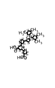 Cc1cc(C)cc(N(c2cc(C)cc(C)c2)c2ccc(-c3ccnc(-c4cc(C(=O)O)cc(-c5cc(C(=O)O)ccn5)n4)c3)s2)c1